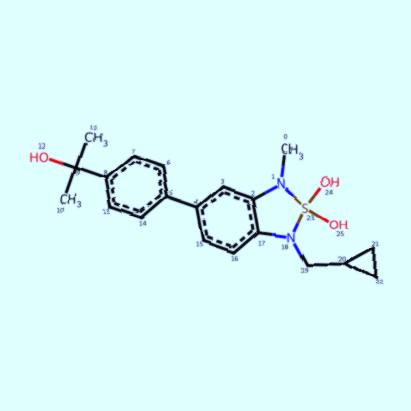 CN1c2cc(-c3ccc(C(C)(C)O)cc3)ccc2N(CC2CC2)S1(O)O